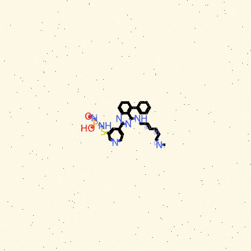 C\N=C/C=C\C=C\CNc1nc(C2=CCN=CC(SNP(O)N=O)=C2)nc2c1=C(C1=CC=CCC1)CCC=2